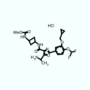 COC(=O)NC1CC(NC(=O)c2nc(-c3ccc(OC(F)F)c(OCC4CC4)c3)oc2C(C)N)C1.Cl